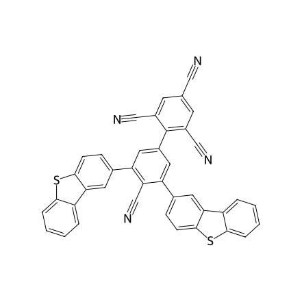 N#Cc1cc(C#N)c(-c2cc(-c3ccc4sc5ccccc5c4c3)c(C#N)c(-c3ccc4sc5ccccc5c4c3)c2)c(C#N)c1